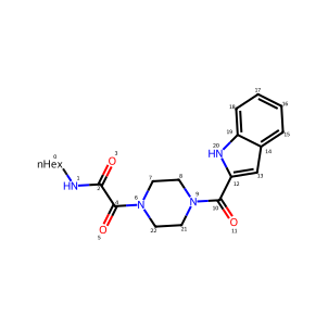 CCCCCCNC(=O)C(=O)N1CCN(C(=O)c2cc3ccccc3[nH]2)CC1